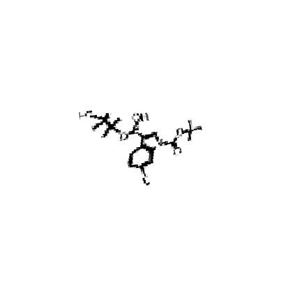 CC(C)(C)OC(=O)n1cc(B(O)OC(C)(C)C(C)(C)O)c2ccc(Cl)cc21